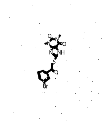 Cn1c(=O)c2[nH]c(SCC(=O)c3cccc(Br)c3)nc2n(C)c1=O